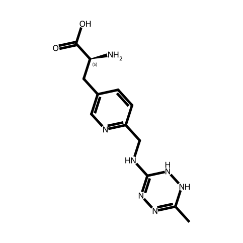 CC1=NN=C(NCc2ccc(C[C@H](N)C(=O)O)cn2)NN1